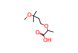 COC(C)(C)CCOC(C)C(=O)O